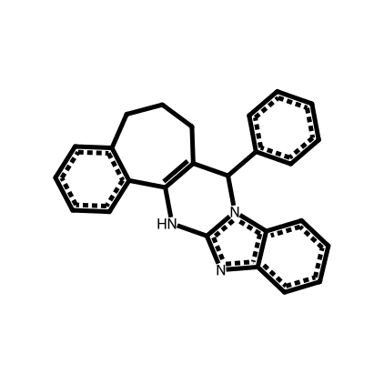 c1ccc(C2C3=C(Nc4nc5ccccc5n42)c2ccccc2CCC3)cc1